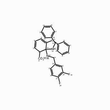 O=C(O)C1C=CC=C(Oc2ccccc2)C1(NCc1ccccc1)NCc1ccc(F)c(F)c1